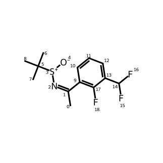 C/C(=N/[S+]([O-])C(C)(C)C)c1cccc(C(F)F)c1F